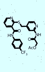 CC(=O)OCC(=O)Nc1cc(CSc2ncccc2C(=O)Nc2ccc(C(F)(F)F)cc2)ccn1